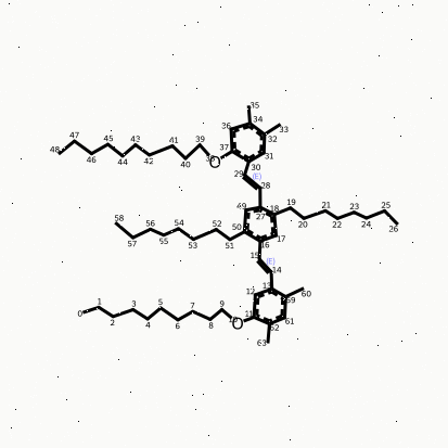 CCCCCCCCCCOc1cc(/C=C/c2cc(CCCCCCCC)c(/C=C/c3cc(C)c(C)cc3OCCCCCCCCCC)cc2CCCCCCCC)c(C)cc1C